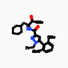 CNC(=O)[C@H](CC1CCCCC1)NC(=O)c1cc(-c2c(OC)cccc2OC)n(CC(C)C)n1